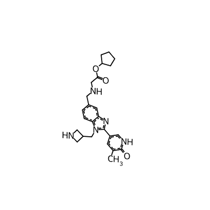 Cc1cc(-c2nc3cc(CNCC(=O)OC4CCCC4)ccc3n2CC2CNC2)c[nH]c1=O